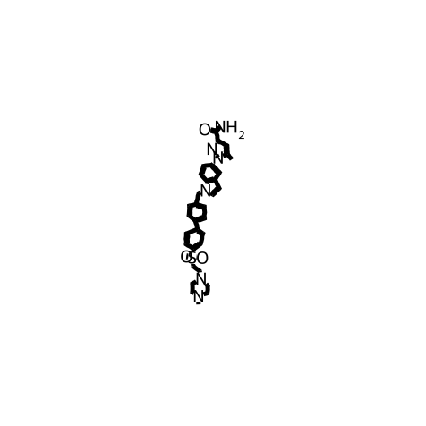 Cc1cc(C(N)=O)nn1-c1ccc2c(ccn2Cc2ccc(-c3ccc(S(=O)(=O)CCN4CCN(C)CC4)cc3)cc2)c1